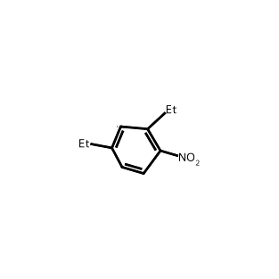 CCc1[c]c(CC)c([N+](=O)[O-])cc1